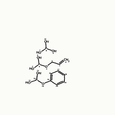 C=CCOP(O)O.OP(O)O.OP(O)Oc1ccccc1